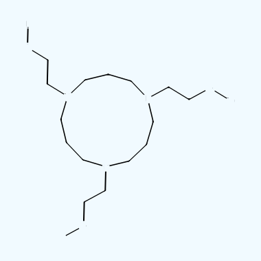 CCOCCP1CCCP(CCOCC)CCCP(CCOCC)CCC1